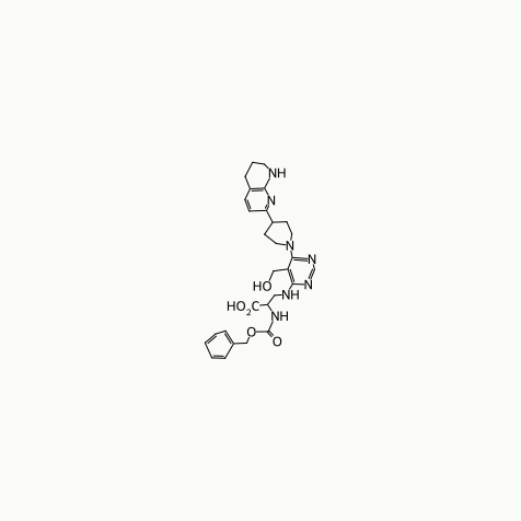 O=C(NC(CNc1ncnc(N2CCC(c3ccc4c(n3)NCCC4)CC2)c1CO)C(=O)O)OCc1ccccc1